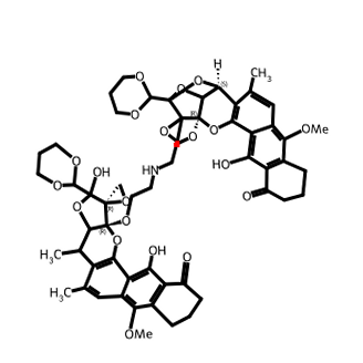 COc1c2c(c(O)c3c4c(c(C)cc13)C(C)C1OC(O)(C3OCCCO3)[C@]3(CO3)[C@]1(OCCNCCO[C@@]13Oc5c(c(C)cc6c(OC)c7c(c(O)c56)C(=O)CCC7)[C@@H]5OC(C6OCCCO6)(OC51)C31CO1)O4)C(=O)CCC2